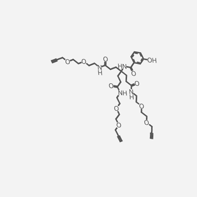 C#CCOCCOCCNC(=O)CCC(CCC(=O)NCCOCCOCC#C)(CCC(=O)NCCOCCOCC#C)NC(=O)c1cccc(O)c1